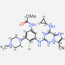 COC(=O)Nc1cc(Nc2nc(NC3CC3)c3ncc(C#N)n3n2)c(F)c(N2CCN(C)CC2)c1